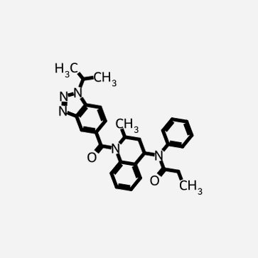 CCC(=O)N(c1ccccc1)C1CC(C)N(C(=O)c2ccc3c(c2)nnn3C(C)C)c2ccccc21